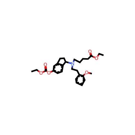 CCOC(=O)CCCCN(CCc1ccccc1OC)C1CCc2cc(OC(=O)OCC)ccc21